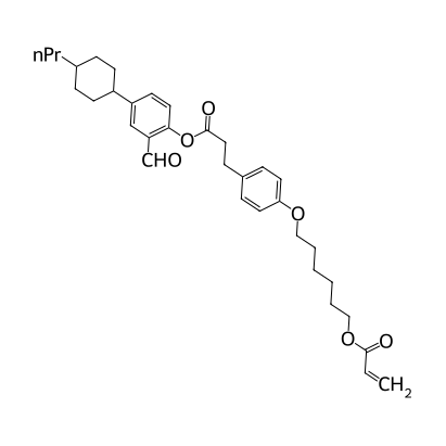 C=CC(=O)OCCCCCCOc1ccc(CCC(=O)Oc2ccc(C3CCC(CCC)CC3)cc2C=O)cc1